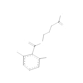 Cc1cccc(C)c1C(=O)OCCCC(=O)O